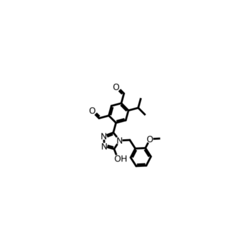 COc1ccccc1Cn1c(O)nnc1-c1cc(C(C)C)c(C=O)cc1C=O